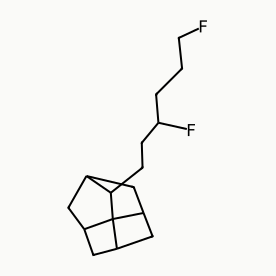 FCCCC(F)CCC1C2CC3CC4CC(C2)C341